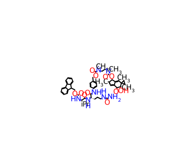 C[C]1C=C2C(=O)[C@](C)(O)C3(CC3)C(C)=C2C1OC(=O)N(C)CCN(C)C(=O)OCc1ccc(NC(=O)[C@H](CCCNC(N)=O)NC(=O)[C@@H](NC(=O)OCC2c3ccccc3-c3ccccc32)C(C)C)cc1